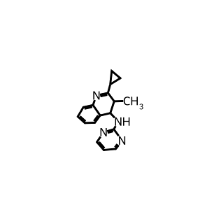 CC1C(C2CC2)=Nc2ccccc2C1Nc1ncccn1